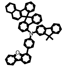 CC1(C)c2ccccc2-c2ccc(N(c3ccc(-c4cccc5c4oc4ccccc45)cc3)c3cccc4c3-c3ccccc3C43C4=C(C5=CC=CCC5C=C4)c4ccccc43)cc21